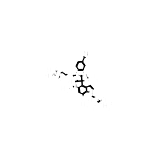 COc1cc(C)c2c(ccn2C(=O)OC(C)(C)C)c1C(OC)(c1nc2cc(C#N)ccc2n1COCC[Si](C)(C)C)C(F)(F)F